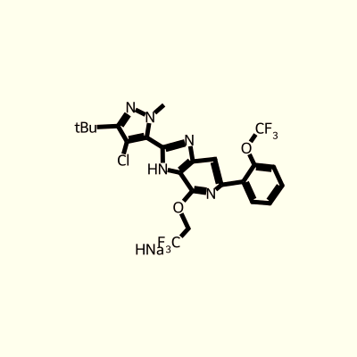 Cn1nc(C(C)(C)C)c(Cl)c1-c1nc2cc(-c3ccccc3OC(F)(F)F)nc(OCC(F)(F)F)c2[nH]1.[NaH]